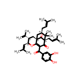 C=C(C)[C@@H]1C[C@]23C[C@@H](CC=C(C)C)C(C)(C)[C@](CC=C(C)C)(C(=O)C(C(=O)c4ccc(O)c(O)c4)=C2O[C@H]1C=C(C)C)C3=O